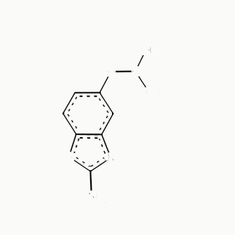 Nc1nc2cc(OB(O)O)ccc2o1